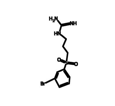 N=C(N)NCCCS(=O)(=O)c1cccc(Br)c1